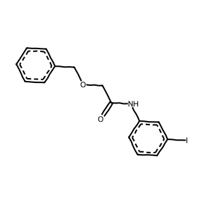 O=C(COCc1ccccc1)Nc1cccc(I)c1